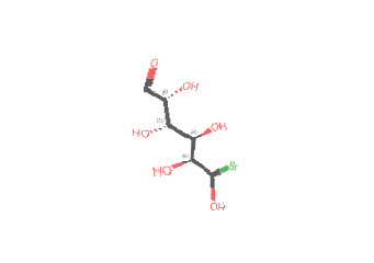 O=C[C@H](O)[C@@H](O)[C@@H](O)[C@H](O)C(O)Br